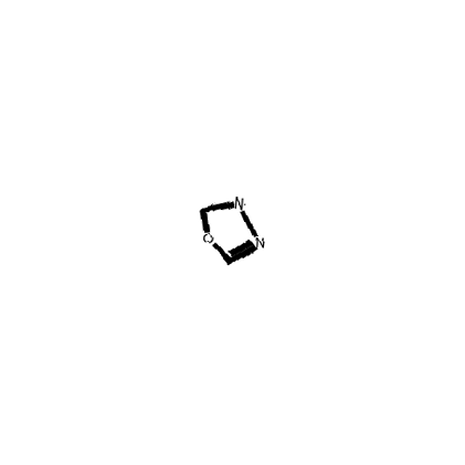 C1=N[N]CO1